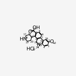 COc1cccc(-c2ccc(C(=O)O)c(C3CCNCC3)c2CN(C)C)c1.Cl